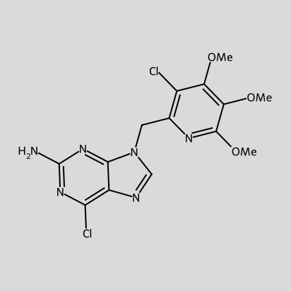 COc1nc(Cn2cnc3c(Cl)nc(N)nc32)c(Cl)c(OC)c1OC